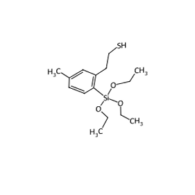 CCO[Si](OCC)(OCC)c1ccc(C)cc1CCS